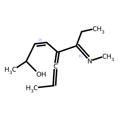 CC=C=C(/C=C\C(C)O)/C(CC)=N/C